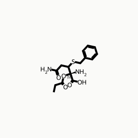 CCC(=O)O[C@@](N)(C(=O)O)C(CC(N)=O)SCc1ccccc1